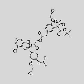 CC(C)(C)OC(=O)N(c1cc(CC(=O)OCC(=O)O[C@@H](Cc2c(Cl)cncc2Cl)c2ccc(OC(F)F)c(OCC3CC3)c2)ccc1OCC1CC1)S(C)(=O)=O